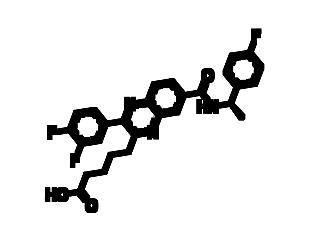 C[C@@H](NC(=O)c1ccc2nc(-c3ccc(F)c(F)c3)c(CCCCC(=O)O)nc2c1)c1ccc(F)cc1